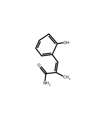 CC(=Cc1ccccc1O)C(N)=O